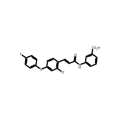 O=C(/C=C/c1ccc(Sc2ccc(F)cc2)cc1Cl)Nc1cccc(C(=O)O)c1